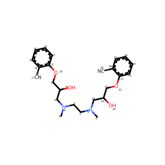 CN(CCN(C)CC(O)COc1ccccc1C#N)CC(O)COc1ccccc1C#N